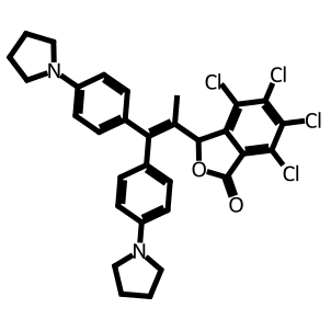 CC(=C(c1ccc(N2CCCC2)cc1)c1ccc(N2CCCC2)cc1)C1OC(=O)c2c(Cl)c(Cl)c(Cl)c(Cl)c21